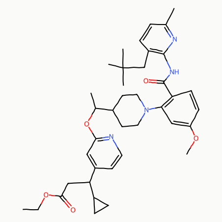 CCOC(=O)CC(c1ccnc(OC(C)C2CCN(c3cc(OC)ccc3C(=O)Nc3nc(C)ccc3CC(C)(C)C)CC2)c1)C1CC1